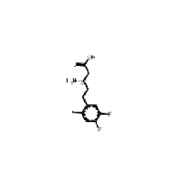 N[C@@H](CCc1cc(F)c(F)cc1F)CC(=O)O